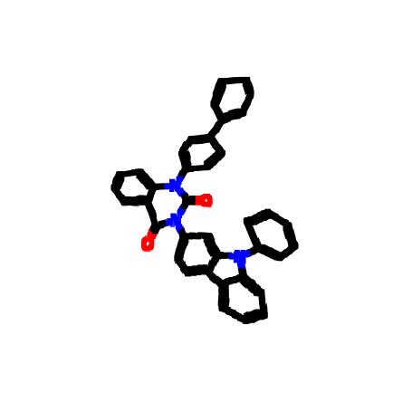 O=c1c2ccccc2n(-c2ccc(-c3ccccc3)cc2)c(=O)n1-c1ccc2c3ccccc3n(-c3ccccc3)c2c1